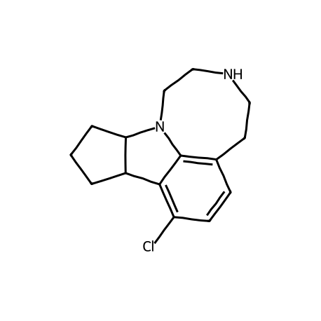 Clc1ccc2c3c1C1CCCC1N3CCNCC2